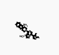 Cc1c(-c2cnc(N3CCC4(CC3)Cc3ncccc3[C@H]4N)c3ccnn23)cnn1C.Cl